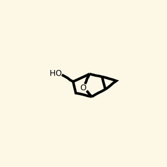 OC1CC2OC1C1CC21